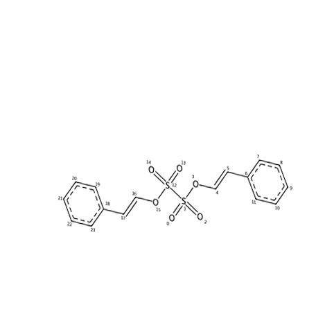 O=S(=O)(OC=Cc1ccccc1)S(=O)(=O)OC=Cc1ccccc1